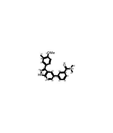 COc1ccc(-c2n[nH]c3ncc(-c4cccc(C(=O)N(C)C)c4)cc23)cc1C